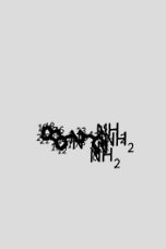 Nc1cc(Cc2cnn(Cc3cccc4c3Cc3ccccc3-4)c2)c(N)c(N)n1